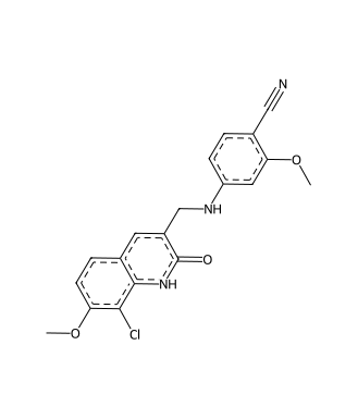 COc1cc(NCc2cc3ccc(OC)c(Cl)c3[nH]c2=O)ccc1C#N